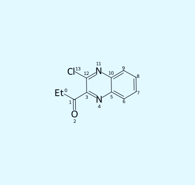 CCC(=O)c1nc2ccccc2nc1Cl